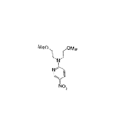 COCCN(CCOC)c1ccc([N+](=O)[O-])cn1